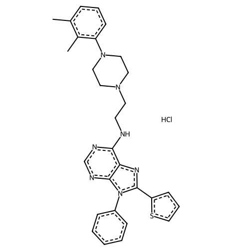 Cc1cccc(N2CCN(CCNc3ncnc4c3nc(-c3cccs3)n4-c3ccccc3)CC2)c1C.Cl